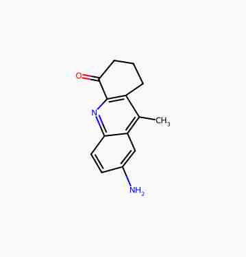 Cc1c2c(nc3ccc(N)cc13)C(=O)CCC2